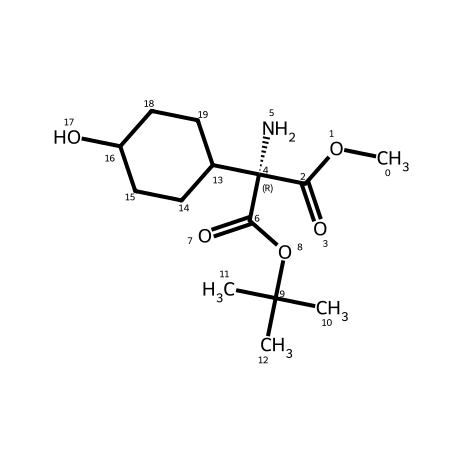 COC(=O)[C@@](N)(C(=O)OC(C)(C)C)C1CCC(O)CC1